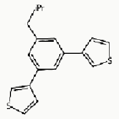 CC(C)[CH]c1cc(-c2ccsc2)cc(-c2ccsc2)c1